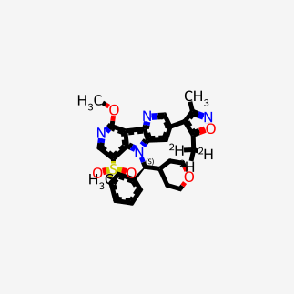 [2H]C([2H])([2H])c1onc(C)c1-c1cnc2c3c(OC)ncc(S(C)(=O)=O)c3n([C@H](c3ccccc3)C3CCOCC3)c2c1